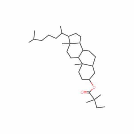 CCC(C)(C)C(=O)OC1CCC2(C)C(CCC3C2CCC2(C)C(C(C)CCCC(C)C)CCC32)C1